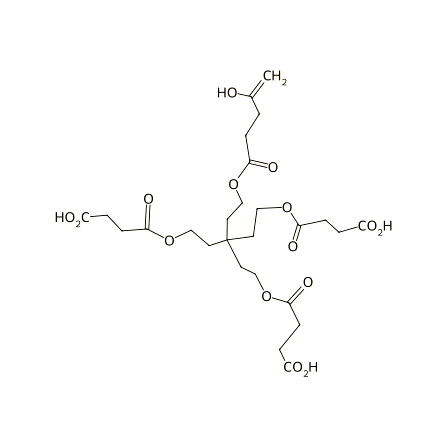 C=C(O)CCC(=O)OCCC(CCOC(=O)CCC(=O)O)(CCOC(=O)CCC(=O)O)CCOC(=O)CCC(=O)O